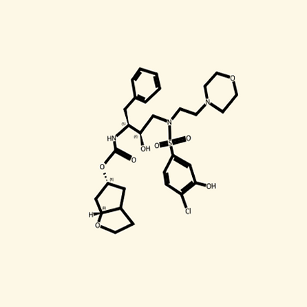 O=C(N[C@@H](Cc1ccccc1)[C@H](O)CN(CCN1CCOCC1)S(=O)(=O)c1ccc(Cl)c(O)c1)O[C@@H]1CC2CCO[C@@H]2C1